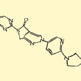 O=C1c2cn(-c3ccc(N4CCCC4)nc3)nc2CN1c1ncccn1